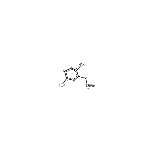 COCc1cc(O)ccc1Br